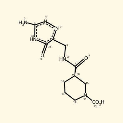 Nc1nnc(CNC(=O)[C@@H]2CCCN(C(=O)O)C2)c(=O)[nH]1